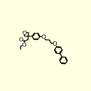 CCOC(=O)CC1(c2ccc(OCCCOc3ccc(-c4ccccc4)cc3)cc2)COC1